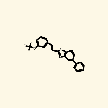 FC(F)(F)Oc1cccc(/C=C/c2nc3cc(-c4ccccc4)ccc3o2)c1